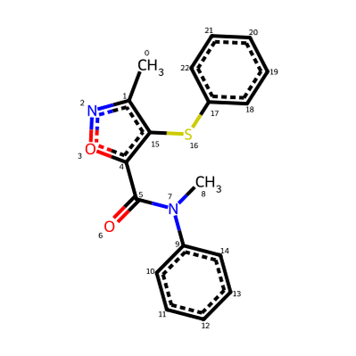 Cc1noc(C(=O)N(C)c2ccccc2)c1Sc1ccccc1